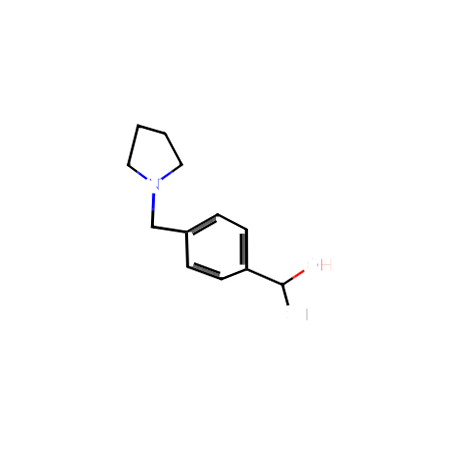 CC(O)c1ccc(CN2CCCC2)cc1